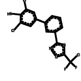 FC(F)(Cl)c1nc(-c2cccc(-c3cc(Cl)c(S)c(Cl)c3)c2)no1